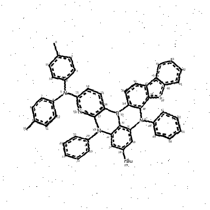 Cc1ccc(N(c2ccc(C)cc2)c2ccc3c(n2)N(c2ccccc2)c2cc(C(C)(C)C)cc4c2B3c2ccc3c(sc5ccccc53)c2N4c2ccccc2)cc1